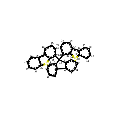 c1ccc2c(c1)-c1ccccc1C2(c1cccc2c1sc1ccccc12)c1cccc2c1sc1ccccc12